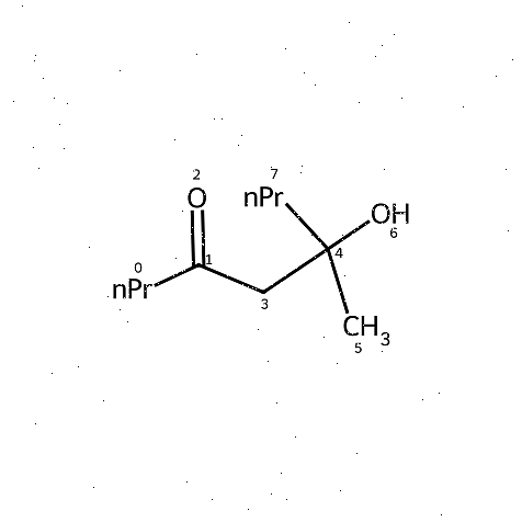 CCCC(=O)CC(C)(O)CCC